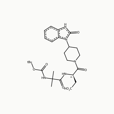 CC(C)(C)OC(=O)NC(C)(C)C(=O)N[C@H](CC(=O)O)C(=O)N1CCC(n2c(=O)[nH]c3ccccc32)CC1